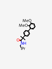 COc1cccc(-c2ccc(C(C)(C)C(=O)NCC(C)C)cc2)c1OC